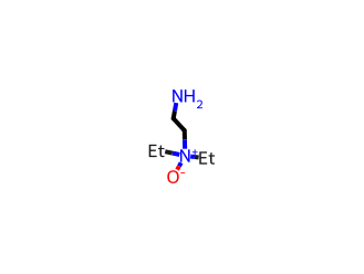 CC[N+]([O-])(CC)CCN